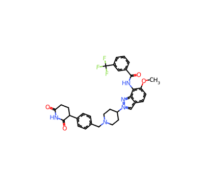 COc1ccc2cn(C3CCN(Cc4ccc(C5CCC(=O)NC5=O)cc4)CC3)nc2c1NC(=O)c1cccc(C(F)(F)F)c1